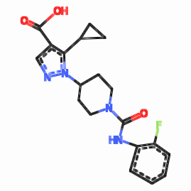 O=C(O)c1cnn(C2CCN(C(=O)Nc3ccccc3F)CC2)c1C1CC1